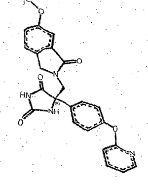 COc1ccc2c(c1)C(=O)N(C[C@@]1(c3ccc(Oc4ccccn4)cc3)NC(=O)NC1=O)C2